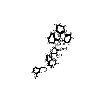 CN(Cc1cccc(F)c1)c1ncnc2c1ncn2[C@@H]1O[C@H](CO[Si](c2ccccc2)(c2ccccc2)c2ccccc2)[C@@H](O)[C@H]1O